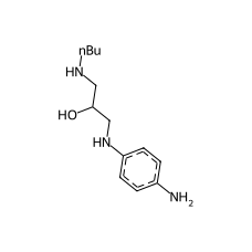 CCCCNCC(O)CNc1ccc(N)cc1